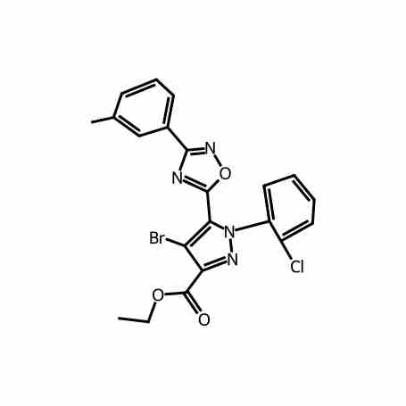 CCOC(=O)c1nn(-c2ccccc2Cl)c(-c2nc(-c3cccc(C)c3)no2)c1Br